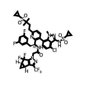 Cn1nc(NS(=O)(=O)C2CC2)c2c(Cl)ccc(-c3ccc(CCC(C)(C)S(=O)(=O)C4CC4)nc3[C@H](Cc3cc(F)cc(F)c3)NC(=O)Cn3nc(C(F)(F)F)c4c3C(F)(F)[C@@H]3C[C@H]43)c21